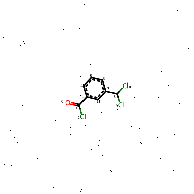 O=C(Cl)c1cccc(C(Cl)Cl)c1